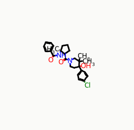 CC1(C)CN(C(=O)[C@@H]2CCC[C@]2(C)NC(=O)c2ccccc2)CCC1(O)c1ccc(Cl)cc1